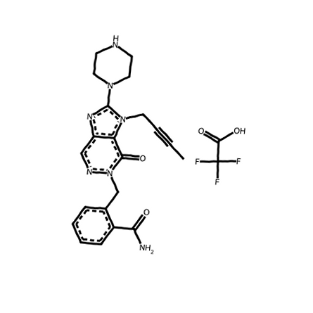 CC#CCn1c(N2CCNCC2)nc2cnn(Cc3ccccc3C(N)=O)c(=O)c21.O=C(O)C(F)(F)F